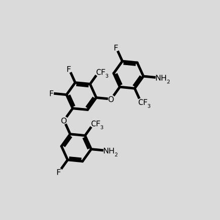 Nc1cc(F)cc(Oc2cc(Oc3cc(F)cc(N)c3C(F)(F)F)c(C(F)(F)F)c(F)c2F)c1C(F)(F)F